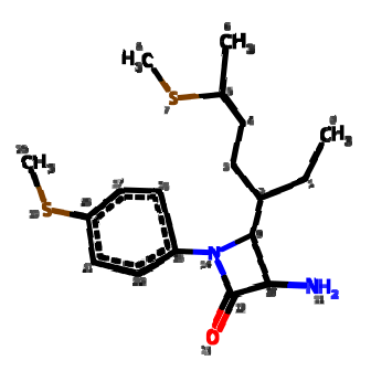 CCC(CCC(C)SC)C1C(N)C(=O)N1c1ccc(SC)cc1